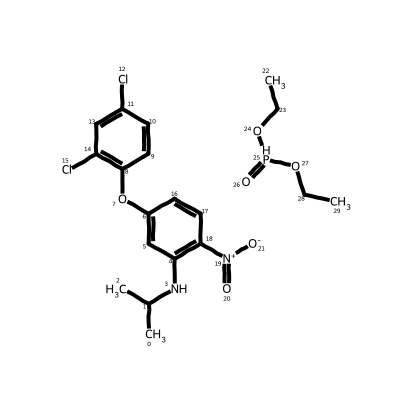 CC(C)Nc1cc(Oc2ccc(Cl)cc2Cl)ccc1[N+](=O)[O-].CCO[PH](=O)OCC